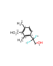 Cc1ccc(C(F)(F)CO)c(C)c1C(=O)O